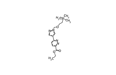 CCOC(=O)c1ccc(-c2cnn(COCC[Si](C)(C)C)c2)nn1